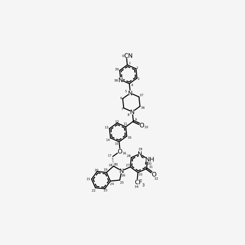 N#Cc1ccc(N2CCN(C(=O)c3cccc(OC[C@H]4c5ccccc5CN4c4cn[nH]c(=O)c4C(F)(F)F)c3)CC2)nc1